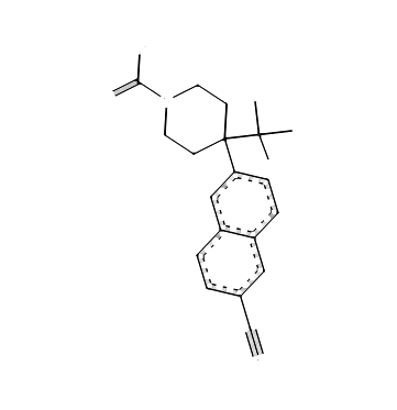 CC(C)(C)C1(c2ccc3cc(C#N)ccc3c2)CCN(C(=O)O)CC1